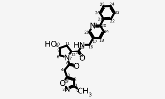 Cc1cc(CC(=O)N2C[C@H](O)C[C@H]2C(=O)NCc2ccc(-c3ccccc3)nc2)on1